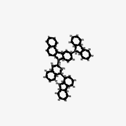 c1ccc2c(c1)ccc1c2c2cc(-n3c4ccccc4c4ccccc43)ccc2n1-c1nc(-c2cccc3c2sc2ccccc23)c2ccccc2n1